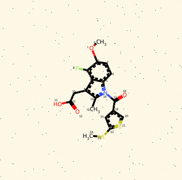 COc1ccc2c(c1F)c(CC(=O)O)c(C)n2C(=O)c1csc(SC)c1